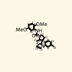 COc1ccc(OC)c(NC(=O)N2CC[C@@](c3ccc(C)cc3)(c3nccs3)C2C)c1